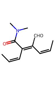 C\C=C/C(C=O)=C(\C=C/C)C(=O)N(C)C